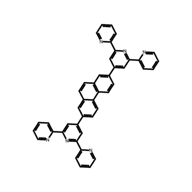 c1ccc(-c2cc(-c3ccc4c(ccc5cc(-c6cc(-c7ccccn7)nc(-c7ccccn7)c6)ccc54)c3)cc(-c3ccccn3)n2)nc1